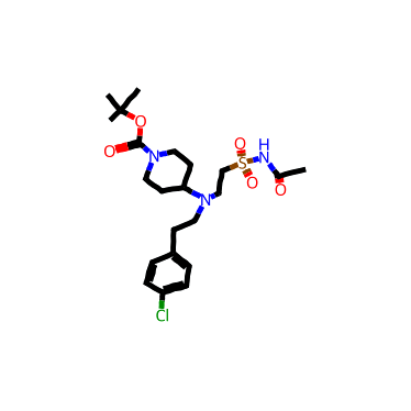 CC(=O)NS(=O)(=O)CCN(CCc1ccc(Cl)cc1)C1CCN(C(=O)OC(C)(C)C)CC1